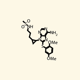 COc1ccc(OC)c(Sc2nc3c(N)ncnc3n2C2CC2CCCNS(C)(=O)=O)c1